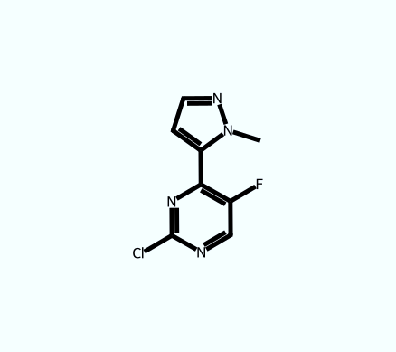 Cn1nccc1-c1nc(Cl)ncc1F